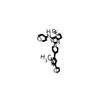 Cn1nc(C2=CCCO2)cc1C1CCN(c2nc3c(c(NC4CCOCC4)n2)[S+]([O-])CC3)CC1